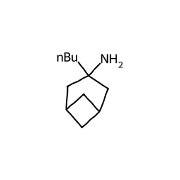 CCCCC1(N)CC2CC(C2)C1